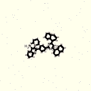 CC1C=CC=CN1c1c(-c2ccc(-c3nc(-c4cccc5ccccc45)cc(-c4cccc5ccccc45)n3)cc2)nc2ccccc2c1N